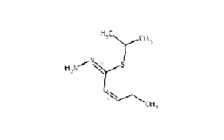 CC/C=C\C(=N/N)SC(C)C